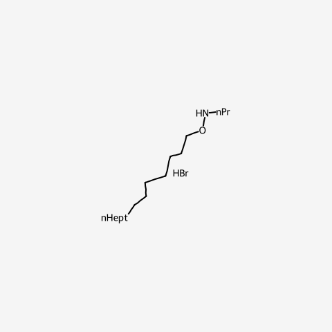 Br.CCCCCCCCCCCCCCONCCC